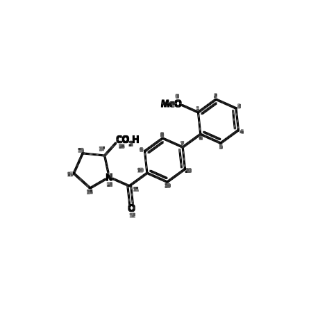 COc1ccccc1-c1ccc(C(=O)N2CCCC2C(=O)O)cc1